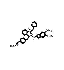 C/N=C/c1ccc(OC(C(=O)Nc2nc3cc(OC)c(OC)cc3s2)c2ccccc2S(=O)(=O)Cc2ccccc2)cc1